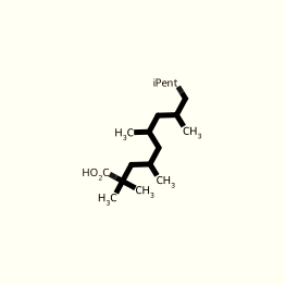 CCCC(C)CC(C)CC(C)CC(C)CC(C)(C)C(=O)O